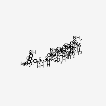 CC(=O)CN(C[C@H](CC(C)C)NC(=O)CN(C[C@H](CCCNC(=N)N)NC(=O)CN(C[C@H](CCCNC(=N)N)NC(=O)CN(C[C@H](CCC(=O)O)NC(=O)CCNC(=S)Nc1ccc(C2c3ccc(O)cc3Oc3cc(O)ccc32)c(C(=O)O)c1)S(=O)(=O)CCN)S(C)(=O)=O)S(C)(=O)=O)S(=O)(=O)CCN